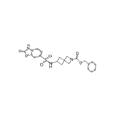 O=C(OCc1ccccc1)N1CC2(CC(NS(=O)(=O)c3ccc4[nH]c(=O)oc4c3)C2)C1